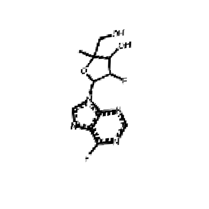 CC1(CO)OC(n2cnc3c(F)ncnc32)C(F)C1O